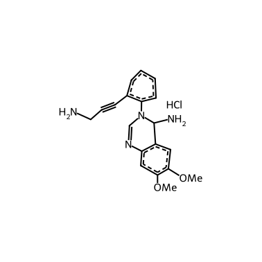 COc1cc2c(cc1OC)C(N)N(c1ccccc1C#CCN)C=N2.Cl